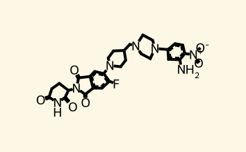 Nc1cc(N2CCN(CC3CCN(c4cc5c(cc4F)C(=O)N(C4CCC(=O)NC4=O)C5=O)CC3)CC2)ccc1[N+](=O)[O-]